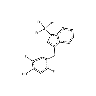 CC(C)[Si](C(C)C)(C(C)C)n1cc(Cc2cc(F)c(O)cc2F)c2cccnc21